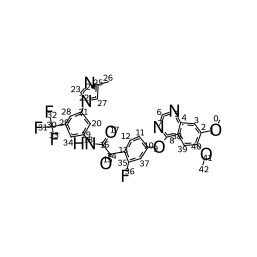 COc1cc2ncnc(Oc3ccc(C(=O)C(=O)Nc4cc(-n5cnc(C)c5)cc(C(F)(F)F)c4)c(F)c3)c2cc1OC